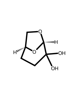 OC1(O)CC[C@H]2CO[C@@H]1O2